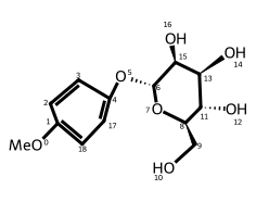 COc1ccc(O[C@H]2O[C@H](CO)[C@@H](O)[C@H](O)[C@@H]2O)cc1